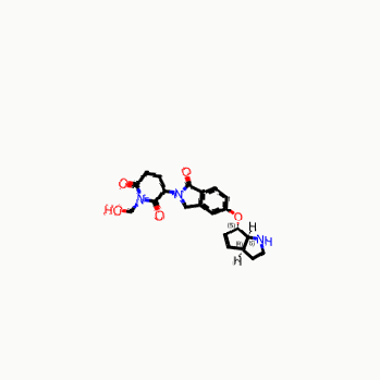 O=C1CCC(N2Cc3cc(O[C@H]4CC[C@@H]5CCN[C@@H]54)ccc3C2=O)C(=O)N1CO